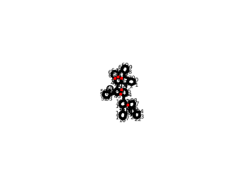 c1ccc(N(c2ccc(-c3ccc(-c4ccccc4-n4c5ccccc5c5ccccc54)cc3)cc2)c2ccccc2-c2cccc3c2oc2ccccc23)c(C2=c3ccccc3=C3CCCCC3C2)c1